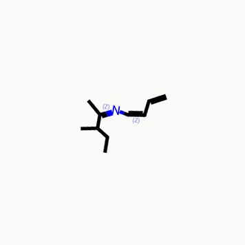 C=C/C=C\N=C(\C)C(C)CC